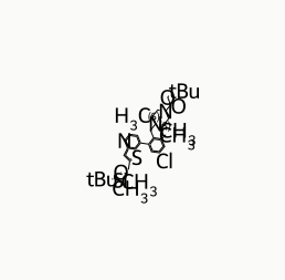 Cc1cc(Cl)cc(-c2ccnc3cc(CO[Si](C)(C)C(C)(C)C)sc23)c1CN1[C@@H](C)CN(C(=O)OC(C)(C)C)C[C@@H]1C